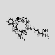 CCC1(C)NC(=O)[C@H](CCCCCC(=O)[C@@H](C)O)NC(=O)[C@H]2C[C@H](C)CN2C(O)[C@H](Cc2ccccc2)NC1=O